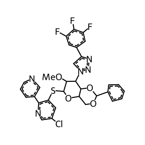 COC1C(Sc2cc(Cl)cnc2-c2cccnc2)OC2COC(c3ccccc3)OC2C1n1cc(-c2cc(F)c(F)c(F)c2)nn1